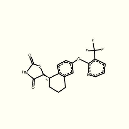 O=C1NC(=O)C([C@@H]2CCCc3cc(Oc4ncccc4C(F)(F)F)ccc32)S1